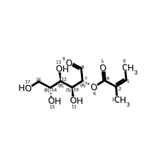 CC=C(C)C(=O)O[C@@H](C=O)[C@@H](O)[C@H](O)[C@H](O)CO